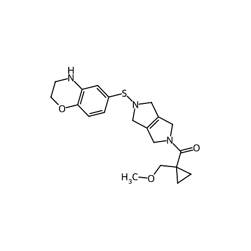 COCC1(C(=O)N2CC3=C(CN(Sc4ccc5c(c4)NCCO5)C3)C2)CC1